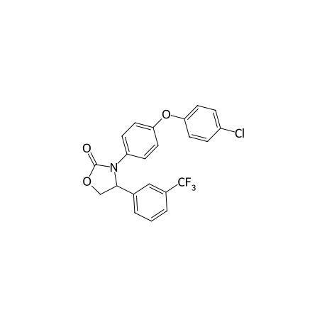 O=C1OCC(c2cccc(C(F)(F)F)c2)N1c1ccc(Oc2ccc(Cl)cc2)cc1